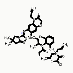 C#CCN1C(=O)COc2cc(F)c(/N=c3\snc4n3CC(C)(C)C4)cc21.C=CCN(CC=C)C(=O)C(Cl)Cl.CCc1cccc(C)c1N(C(=O)CCl)C(C)COC